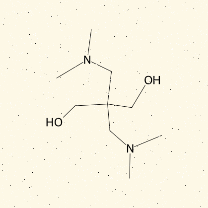 CN(C)CC(CO)(CO)CN(C)C